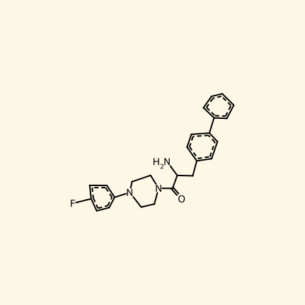 NC(Cc1ccc(-c2ccccc2)cc1)C(=O)N1CCN(c2ccc(F)cc2)CC1